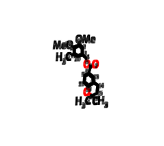 COc1cc(COC(=O)c2ccc3c(c2)C=CC(C)(C)O3)cc(C)c1OC